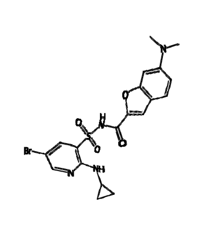 CN(C)c1ccc2cc(C(=O)NS(=O)(=O)c3cc(Br)cnc3NC3CC3)oc2c1